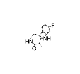 CC1C(=O)NCCc2c1[nH]c1cc(F)ccc21